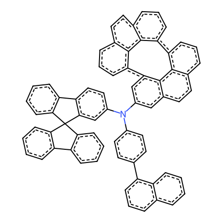 c1ccc2c(c1)-c1ccccc1C21c2ccccc2-c2ccc(N(c3ccc(-c4cccc5ccccc45)cc3)c3cc4ccc5cccc6c7cccc8ccc9cccc(c(c3)c4c56)c9c87)cc21